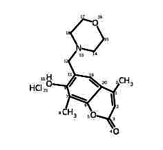 Cc1cc(=O)oc2c(C)c(O)c(CN3CCOCC3)cc12.Cl